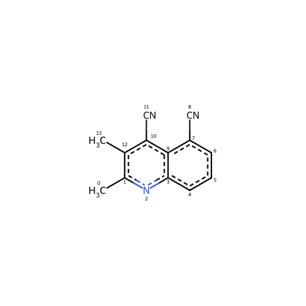 Cc1nc2cccc(C#N)c2c(C#N)c1C